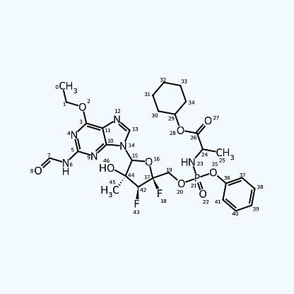 CCOc1nc(NC=O)nc2c1ncn2C1O[C@](F)(COP(=O)(NC(C)C(=O)OC2CCCCC2)Oc2ccccc2)[C@@H](F)[C@@]1(C)O